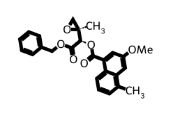 COc1cc(C(=O)O[C@H](C(=O)OCc2ccccc2)[C@]2(C)CO2)c2cccc(C)c2c1